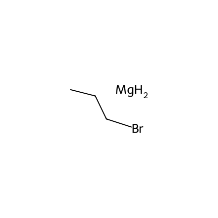 CCCBr.[MgH2]